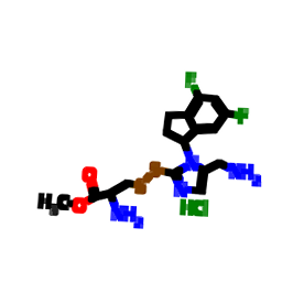 COC(=O)C(N)CSSc1ncc(CN)n1C1CCc2c(F)cc(F)cc21.Cl